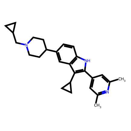 Cc1cc(-c2[nH]c3ccc(C4CCN(CC5CC5)CC4)cc3c2C2CC2)cc(C)n1